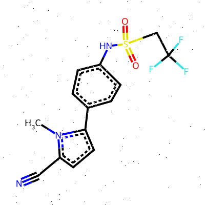 Cn1c(C#N)ccc1-c1ccc(NS(=O)(=O)CC(F)(F)F)cc1